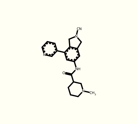 CN1CCCC(C(=O)Nc2cc3c(c(-c4cccnc4)c2)CN(C#N)C3)C1